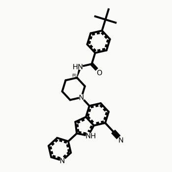 CC(C)(C)c1ccc(C(=O)N[C@@H]2CCCN(c3ccc(C#N)c4[nH]c(-c5cccnc5)cc34)C2)cc1